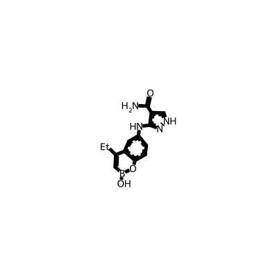 CCC1=CB(O)Oc2ccc(Nc3n[nH]cc3C(N)=O)cc21